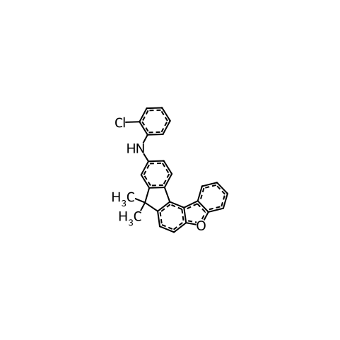 CC1(C)c2cc(Nc3ccccc3Cl)ccc2-c2c1ccc1oc3ccccc3c21